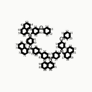 C1=C(N(c2ccc(Oc3ccccc3)cc2)c2cccc3ccccc23)CCC(N(c2ccc(-c3ccc(N(c4ccc(N(c5ccc(Oc6ccccc6)cc5)c5cccc6ccccc56)cc4)c4cccc5ccccc45)cc3)cc2)c2cccc3ccccc23)=C1